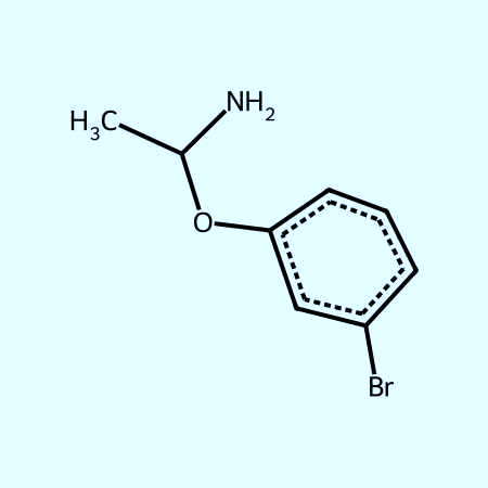 CC(N)Oc1cccc(Br)c1